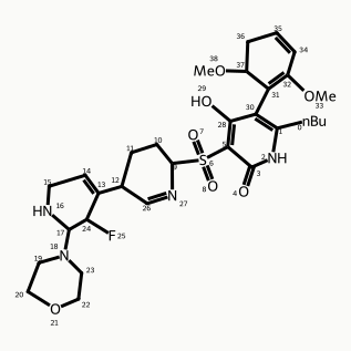 CCCCc1[nH]c(=O)c(S(=O)(=O)C2CCC(C3=CCNC(N4CCOCC4)C3F)C=N2)c(O)c1C1=C(OC)C=CCC1OC